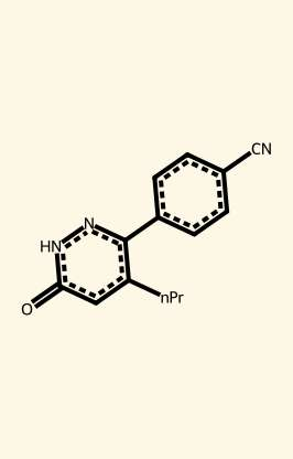 CCCc1cc(=O)[nH]nc1-c1ccc(C#N)cc1